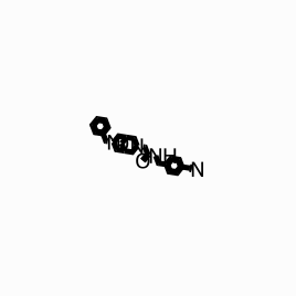 N#Cc1ccc(CNC(=O)CN2CC3CN(Cc4ccccc4)CC(C2)O3)cc1